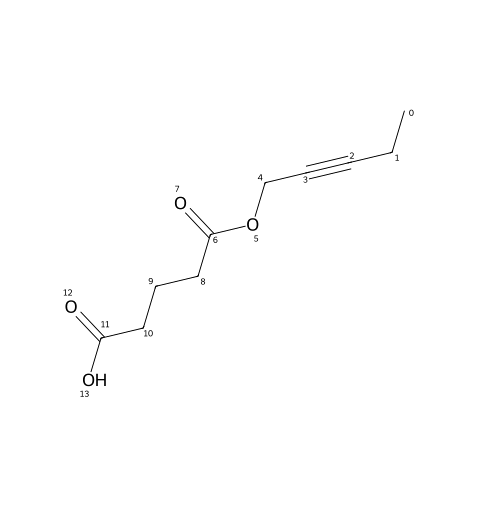 CCC#CCOC(=O)CCCC(=O)O